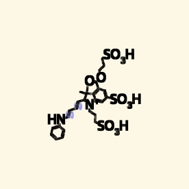 CC1(C)C(/C=C/C=C/Nc2ccccc2)=[N+](CCCS(=O)(=O)O)c2cc(S(=O)(=O)O)cc(C(=O)OCCCS(=O)(=O)O)c21